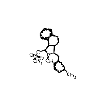 Cc1cccc(CC2C3CCc4ccccc4C3C(OS(C)(=O)=O)N2C)c1